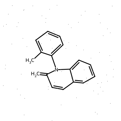 C=C1C=Cc2ccccc2N1c1ccccc1C